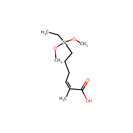 CC[Si]([CH]CCC=C(C)C(=O)O)(OC)OC